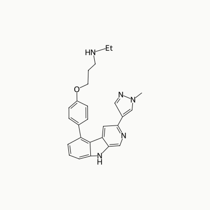 CCNCCCOc1ccc(-c2cccc3[nH]c4cnc(-c5cnn(C)c5)cc4c23)cc1